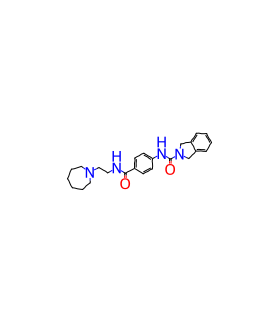 O=C(NCCN1CCCCCC1)c1ccc(NC(=O)N2Cc3ccccc3C2)cc1